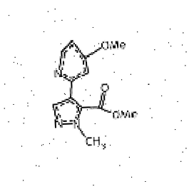 COC(=O)c1c(-c2cc(OC)ccn2)cnn1C